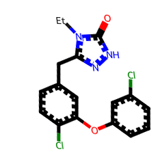 CCn1c(Cc2ccc(Cl)c(Oc3cccc(Cl)c3)c2)n[nH]c1=O